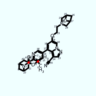 CC(C)(C)OC(=O)N1C2CC1CN(c1ccc(-c3cc(OCCN4CC5CC(C4)O5)cn4ncc(C#N)c34)cn1)C2